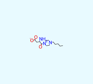 CCCCCN1CCN(C(=O)C(N)CC(=O)OC)CC1